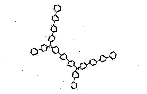 c1ccc(-c2ccc(-c3ccc(-c4ccc(N(c5ccc(-c6ccccc6)cc5)c5ccc(-c6ccc(-c7ccc(N(c8ccc(-c9ccccc9)cc8)c8ccc(-c9ccc(-c%10ccc(-c%11ccccc%11)cc%10)cc9)cc8)cc7)cc6)cc5)cc4)cc3)cc2)cc1